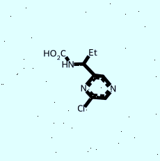 CCC(NC(=O)O)c1cncc(Cl)n1